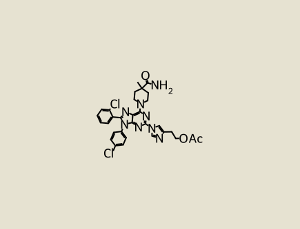 CC(=O)OCCc1cn(-c2nc(N3CCC(C)(C(N)=O)CC3)c3nc(-c4ccccc4Cl)n(-c4ccc(Cl)cc4)c3n2)cn1